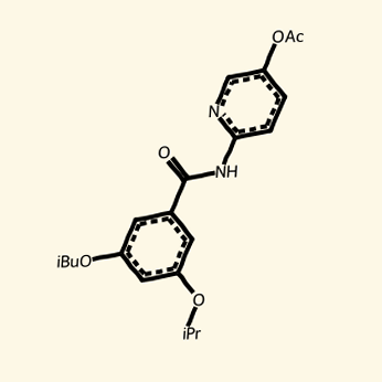 CC(=O)Oc1ccc(NC(=O)c2cc(OCC(C)C)cc(OC(C)C)c2)nc1